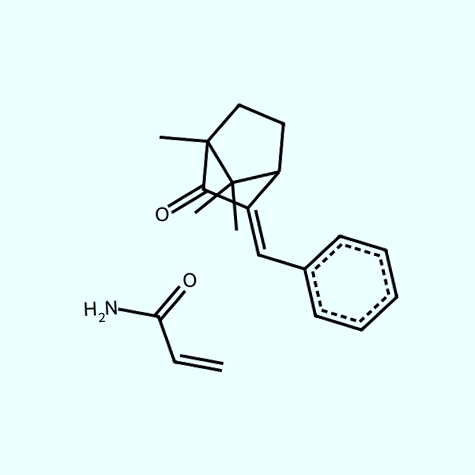 C=CC(N)=O.CC12CCC(C(=Cc3ccccc3)C1=O)C2(C)C